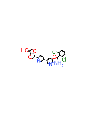 CC(Oc1cc(-c2ccc(C3COC4C3OC[C@H]4O)nc2)cnc1N)c1c(Cl)cccc1Cl